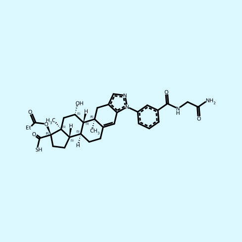 CCC(=O)O[C@]1(C(=O)S)CC[C@H]2[C@@H]3CCC4=Cc5c(cnn5-c5cccc(C(=O)NCC(N)=O)c5)C[C@]4(C)[C@H]3[C@@H](O)C[C@@]21C